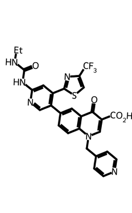 CCNC(=O)Nc1cc(-c2nc(C(F)(F)F)cs2)c(-c2ccc3c(c2)c(=O)c(C(=O)O)cn3Cc2ccncc2)cn1